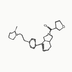 C[C@@H]1CCCN1CCc1ccc(C2=CCCC3CN(C(=O)C4CCOC4)CC23)cc1